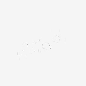 O=C1Nc2cnc(-c3cc(C(F)(F)F)cc(C(F)(F)F)c3)cc2C(=O)N2CCNC(OC(=O)C(F)(F)F)[C@@H]12